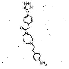 Nc1ccc(CCN2CCCN(C(=O)Cc3ccc(-n4cnnn4)cc3)CC2)cc1